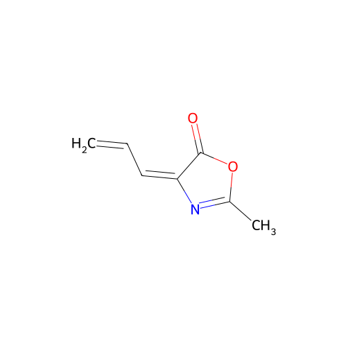 C=CC=C1N=C(C)OC1=O